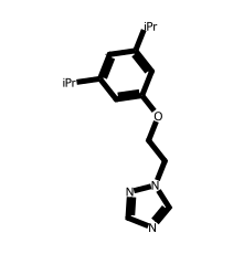 CC(C)c1[c]c(C(C)C)cc(OCCn2cncn2)c1